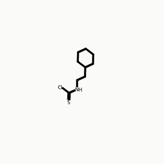 S=C(Cl)NCCC1CCCCC1